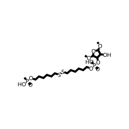 COC1OC(OC)C(OP(=O)(O)OCCCCCCSSCCCCCCOP(C)(=O)O)C1O